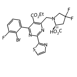 CCOC(=O)c1c(CN2CC(F)(F)C[C@H]2C(=O)O)nc(-c2nccs2)nc1-c1cccc(F)c1Br